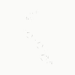 CC(C)(C)OC(=O)N[C@H]1C[C@H](Oc2ccc(C(C)(C)c3ccc(Oc4cccc(C#N)n4)cc3)cc2)C1